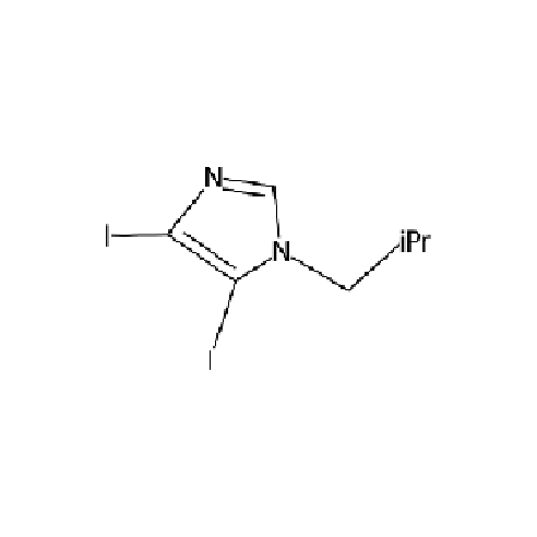 CC(C)Cn1cnc(I)c1I